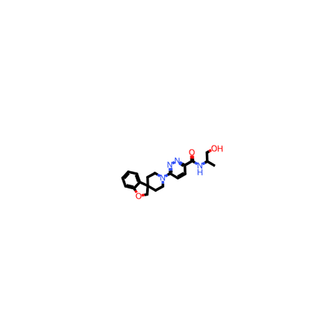 CC(CO)NC(=O)c1ccc(N2CCC3(CC2)COc2ccccc23)nn1